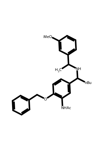 CCCCC(NC(C)c1cccc(OC)c1)c1ccc(OCc2ccccc2)c(NC(C)=O)c1